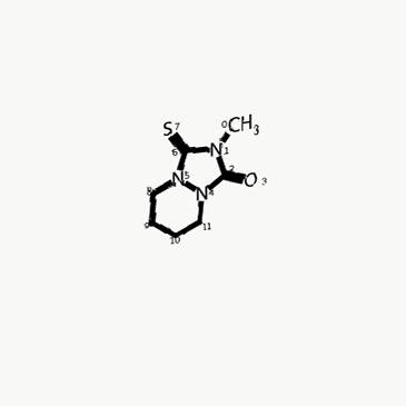 Cn1c(=O)n2n(c1=S)CCCC2